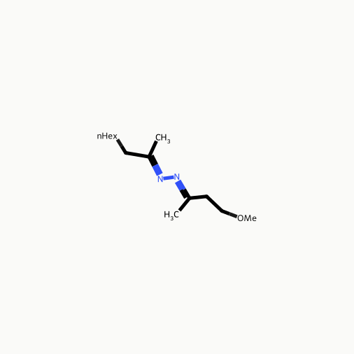 CCCCCCC/C(C)=N/N=C(\C)CCOC